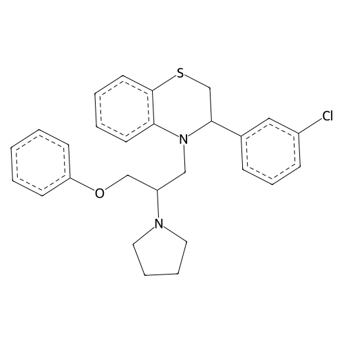 Clc1cccc(C2CSc3ccccc3N2CC(COc2ccccc2)N2CCCC2)c1